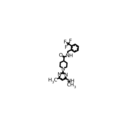 CNc1cc(C)nc(N2CCC(C(=O)NCc3ccccc3C(F)(F)F)CC2)n1